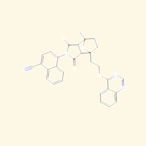 CC12CCC(CCOc3ncnc4ccccc34)(O1)C1C(=O)N(c3ccc(C#N)c4ccccc34)C(=O)C12